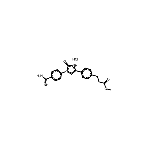 COC(=O)CCc1ccc(-c2cn(-c3ccc(C(=N)N)cc3)c(=O)[nH]2)cc1.Cl